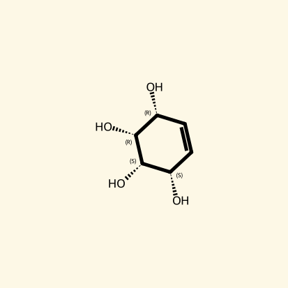 O[C@@H]1[C@H](O)[C@H](O)C=C[C@@H]1O